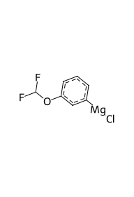 FC(F)Oc1ccc[c]([Mg][Cl])c1